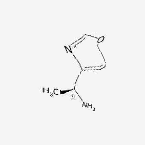 C[C@H](N)c1cocn1